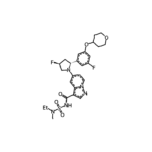 CCN(C)S(=O)(=O)NC(=O)c1cnn2ccc(N3C[C@@H](F)C[C@@H]3c3cc(F)cc(OC4CCOCC4)c3)cc12